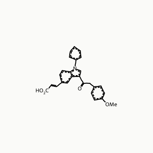 COc1ccc(CC(=O)c2cn(-c3ccccc3)c3ccc(C=CC(=O)O)cc23)cc1